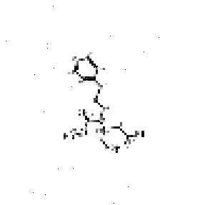 CCC(CC)C[C@@H](CC(C)C)[C@H](CCCc1ccccc1)C(=O)OC(C)(C)C